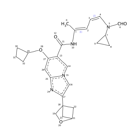 C/C(=C\C=C/N(C=O)C1CC1)NC(=O)c1cn2cc(C34COC(C3)C4)nc2cc1OC1CCC1